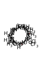 CC(C)C[C@H]1C(=O)N[C@@H](CC2CCCC2)C(=O)N(C)CC(=O)N(C)CC(=O)N(C)[C@@H](CC2CCCCC2)C(=O)N(C)CC(=O)N[C@@H](CCc2ccc(C(F)(F)F)c(Cl)c2)C(=O)N2CCC[C@H]2C(=O)NC2(CCCC2)C(=O)N(C)[C@@H](C(C)C)C(=O)N(C)[C@H](C(=O)N2CCCCC2)CC(=O)N1C